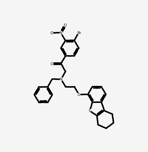 O=C(CN(CCOc1cccc2c3c(sc12)CCCC3)Cc1ccccc1)c1ccc(Br)c([N+](=O)[O-])c1